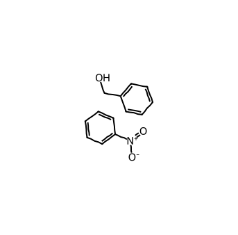 O=[N+]([O-])c1ccccc1.OCc1ccccc1